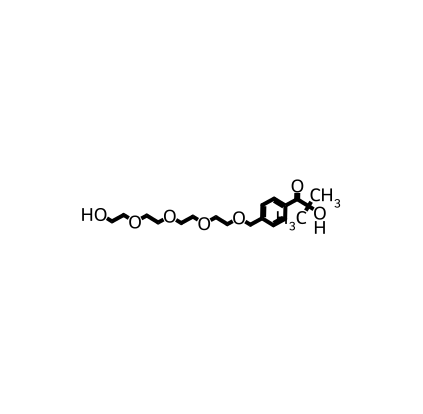 CC(C)(O)C(=O)c1ccc(COCCOCCOCCOCCO)cc1